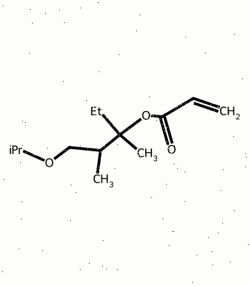 C=CC(=O)OC(C)(CC)C(C)COC(C)C